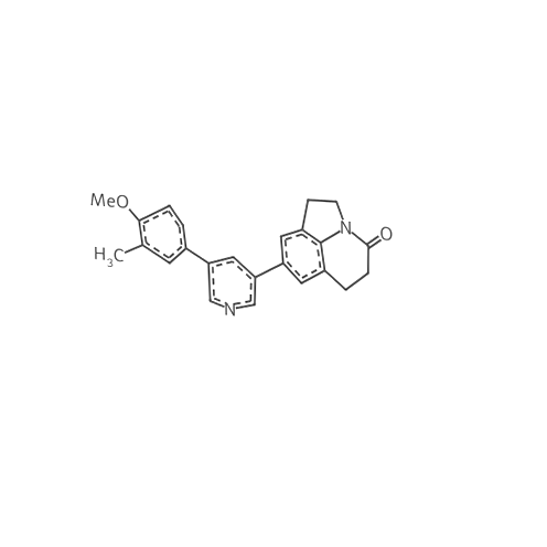 COc1ccc(-c2cncc(-c3cc4c5c(c3)CCN5C(=O)CC4)c2)cc1C